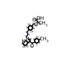 Cc1ccc(C(=O)c2cn(C/C=C/c3ccc(CO[C@@H](C)C(=O)O)cc3)c3ncccc23)cc1